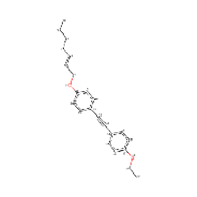 CCCCC=CCOc1ccc(C#Cc2ccc(OCC)cc2)cc1